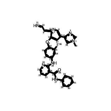 Cn1cnc(C2=CN/C(=C\C=N)C(Oc3ccc(Nc4ncccc4C(=O)Nc4ccccc4)cc3F)=C2)c1